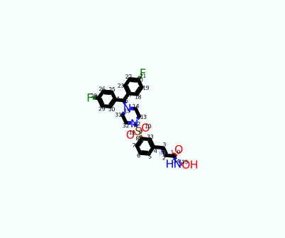 O=C(/C=C/c1cccc(S(=O)(=O)N2CCN(C(c3ccc(F)cc3)c3ccc(F)cc3)CC2)c1)NO